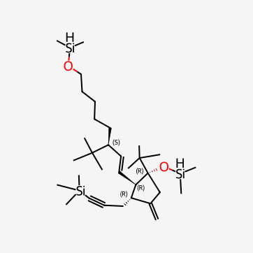 C=C1C[C@](O[SiH](C)C)(C(C)(C)C)[C@H](C=C[C@H](CCCCCO[SiH](C)C)C(C)(C)C)[C@H]1CC#C[Si](C)(C)C